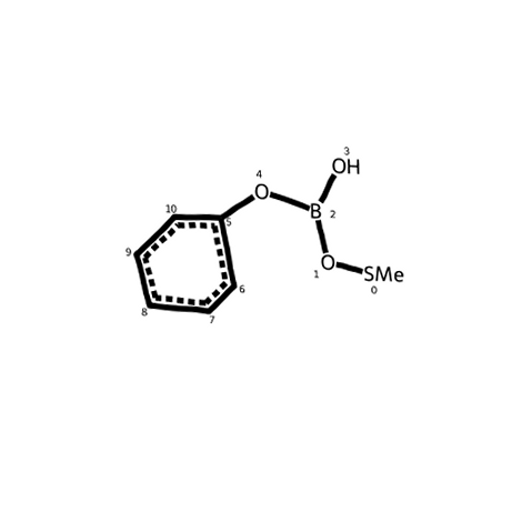 CSOB(O)Oc1ccccc1